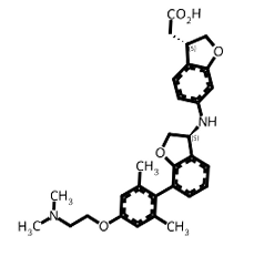 Cc1cc(OCCN(C)C)cc(C)c1-c1cccc2c1OC[C@H]2Nc1ccc2c(c1)OC[C@H]2CC(=O)O